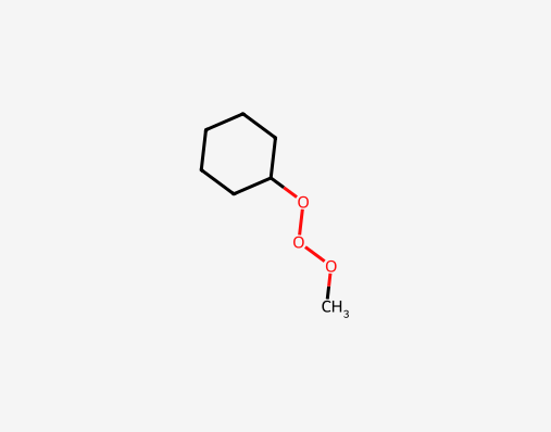 COOOC1CCCCC1